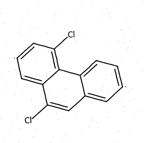 Clc1cc2c[c]ccc2c2c(Cl)c[c]cc12